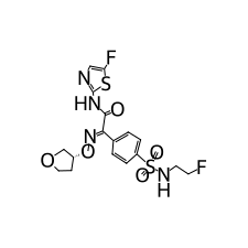 O=C(Nc1ncc(F)s1)/C(=N/O[C@@H]1CCOC1)c1ccc(S(=O)(=O)NCCF)cc1